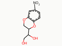 O=[N+]([O-])c1ccc2c(c1)OCC(C(O)CO)O2